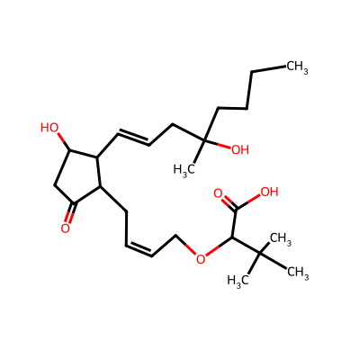 CCCCC(C)(O)C/C=C/C1C(O)CC(=O)C1C/C=C\COC(C(=O)O)C(C)(C)C